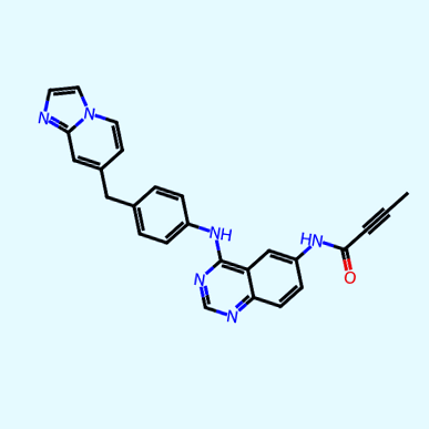 CC#CC(=O)Nc1ccc2ncnc(Nc3ccc(Cc4ccn5ccnc5c4)cc3)c2c1